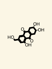 O=C1C2=C(C[C@@H](O)[C@@H](O)C2)C(=O)c2c(O)cc(CO)cc21